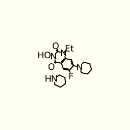 C1CCNCC1.CCn1c(=O)n(O)c(=O)c2cc(F)c(N3CCCCC3)cc21